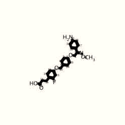 CO/N=C(\COc1ccc(COc2ccc(CCC(=O)O)c(F)c2)cc1)c1ccc(N)cc1